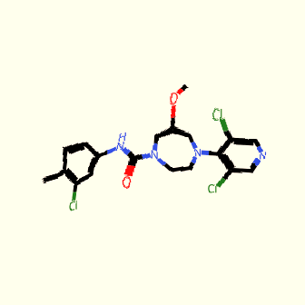 COC1CN(C(=O)Nc2ccc(C)c(Cl)c2)CCN(c2c(Cl)cncc2Cl)C1